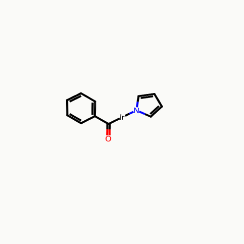 O=[C]([Ir][n]1cccc1)c1ccccc1